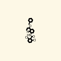 O=C(Nc1cccc2c(OCc3ccccc3)ccnc12)c1c(Cl)cccc1Cl